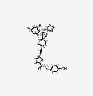 N#Cc1ccc(CNC(=O)c2ccc(C#Cc3ccc(C(F)(F)C(O)(Cn4cnnn4)c4ccc(F)cc4F)nc3)s2)cc1